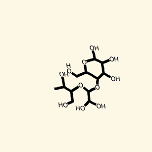 CC(O)C(CO)OC(OC1C(CO)OC(O)C(O)C1O)C(O)O